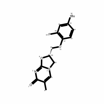 Cc1cn2c(nc1=O)O[C@H](COc1ccc(C(C)(C)C)cc1F)C2